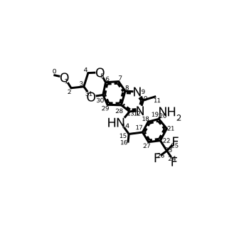 COCC1COc2cc3nc(C)nc(NC(C)c4cc(N)cc(C(F)(F)F)c4)c3cc2O1